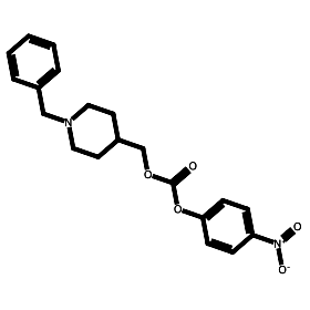 O=C(OCC1CCN(Cc2ccccc2)CC1)Oc1ccc([N+](=O)[O-])cc1